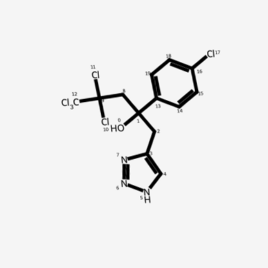 OC(Cc1c[nH]nn1)(CC(Cl)(Cl)C(Cl)(Cl)Cl)c1ccc(Cl)cc1